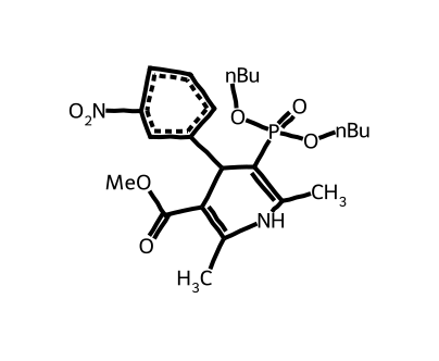 CCCCOP(=O)(OCCCC)C1=C(C)NC(C)=C(C(=O)OC)C1c1cccc([N+](=O)[O-])c1